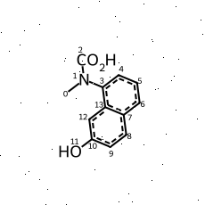 CN(C(=O)O)c1cccc2ccc(O)cc12